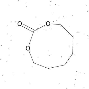 O=C1OCCCCCCO1